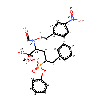 COP(=O)(Oc1ccccc1)C(Cc1ccccc1)CC(C(=O)O)N(C=O)OCc1ccc([N+](=O)[O-])cc1